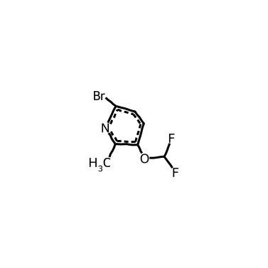 Cc1nc(Br)ccc1OC(F)F